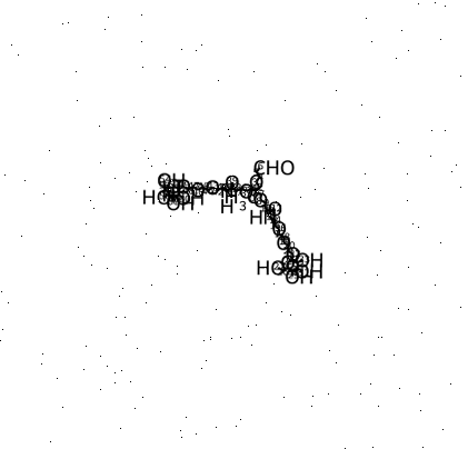 CC(COCCC=O)(COCCC(=O)NCCOCCOCCOC1OC(CO)C(O)C(O)C1O)COCCC(=O)NCCOCCOCCOC1OC(CO)N(O)[C@@H](O)C1O